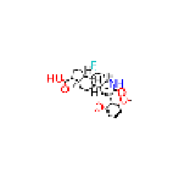 COc1cccc(OC)c1C1=C[C@@]2(C)[C@@H](CC(F)[C@@H]3[C@@H]2CC[C@]2(C)[C@@H](C(=O)O)CC[C@@H]32)NC1=O